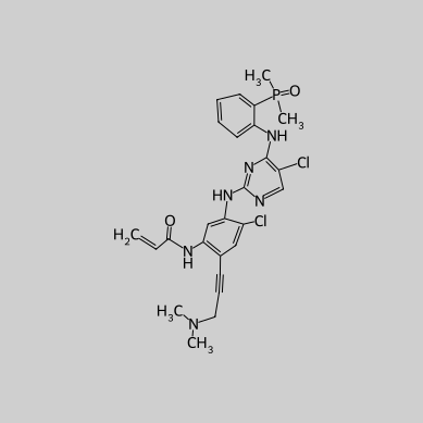 C=CC(=O)Nc1cc(Nc2ncc(Cl)c(Nc3ccccc3P(C)(C)=O)n2)c(Cl)cc1C#CCN(C)C